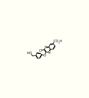 O=C(O)c1ccc2nc(Oc3ccc(CO)cc3)c(Cl)nc2c1